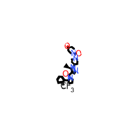 O=C1CCN(C(=O)N2CCC(n3ncc(C(=O)N4CCCC4c4ccccc4C(F)(F)F)c3C3CC3)CC2)CC1